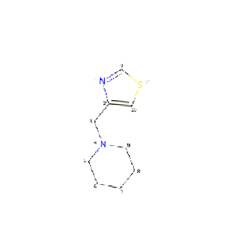 c1nc(CN2CCCCC2)cs1